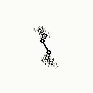 CC(C)(C)OC(=O)NC(c1nc2ccc(C#CC#Cc3ccc4nc([C@@H](NC(=O)OC(C)(C)C)C(C)(C)C)[nH]c4c3)cc2[nH]1)C(C)(C)C